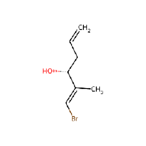 C=CC[C@@H](O)/C(C)=C/Br